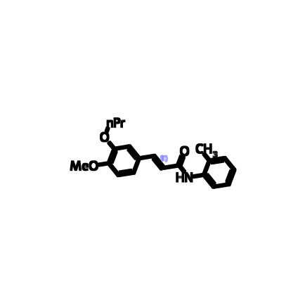 CCCOc1cc(/C=C/C(=O)Nc2ccccc2C)ccc1OC